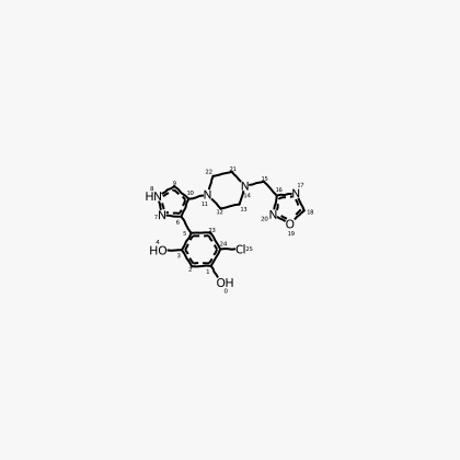 Oc1cc(O)c(-c2n[nH]cc2N2CCN(Cc3ncon3)CC2)cc1Cl